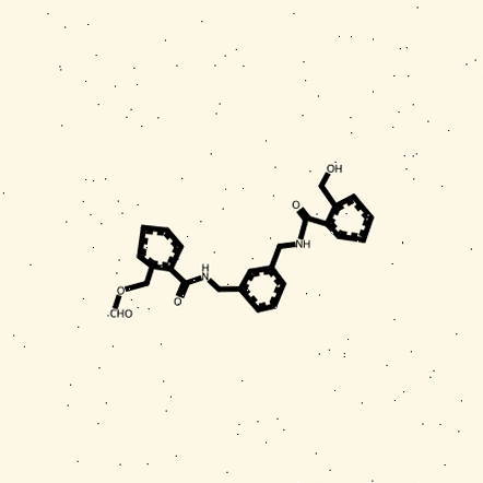 O=COCc1ccccc1C(=O)NCc1cccc(CNC(=O)c2ccccc2CO)c1